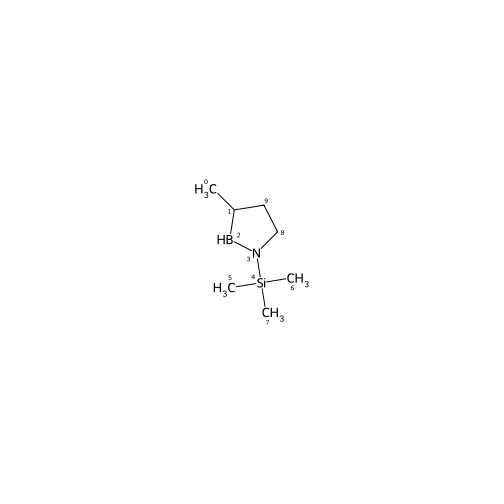 CC1BN([Si](C)(C)C)CC1